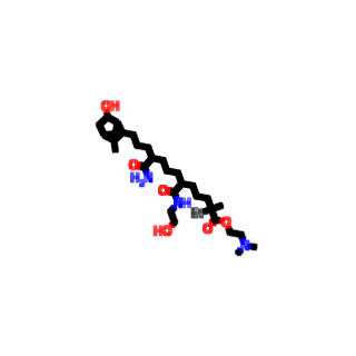 CCC(C)(CCCC(CCCC(CCCC1C(C)C2CC(O)C1C2)C(N)=O)C(=O)NCCO)C(=O)OCCN(C)C